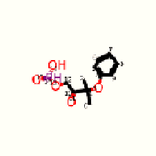 CC(C)(Oc1ccccc1)C(=O)CO[PH](=O)O